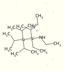 C/C=C(\C)[Si](CC)(NCC)[Si](C(C)C)(C(C)C)C(C)C